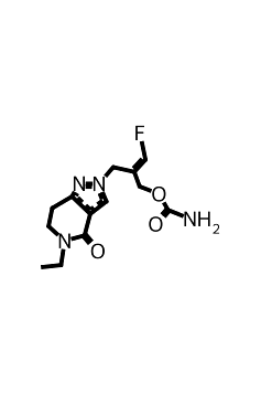 CCN1CCc2nn(C/C(=C\F)COC(N)=O)cc2C1=O